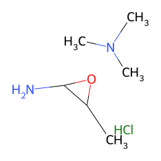 CC1OC1N.CN(C)C.Cl